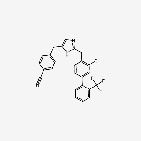 N#Cc1ccc(Cc2cnc(Cc3ccc(-c4ccccc4C(F)(F)F)cc3Cl)[nH]2)cc1